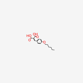 CCCCCCOc1ccc(C=C(C(=O)O)C(=O)O)cc1